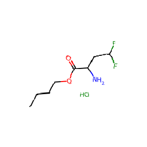 CCCCOC(=O)C(N)CC(F)F.Cl